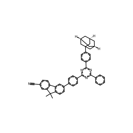 CC1(C)c2ccc(-c3ccc(-c4nc(-c5ccccc5)nc(-c5ccc(C67C[C@H]8C[C@@H](C6)C[C@@H](C7)C8)cc5)n4)cc3)cc2-c2ccc(C#N)cc21